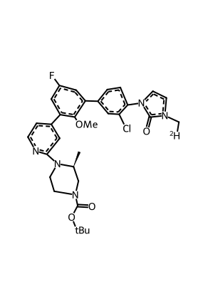 [2H]Cn1ccn(-c2ccc(-c3cc(F)cc(-c4ccnc(N5CCN(C(=O)OC(C)(C)C)C[C@@H]5C)c4)c3OC)cc2Cl)c1=O